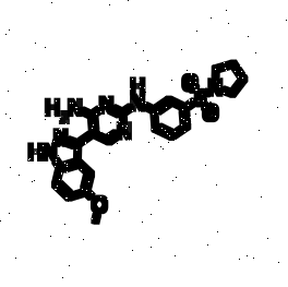 COc1ccc2[nH]nc(-c3cnc(Nc4cccc(S(=O)(=O)N5CCCC5)c4)nc3N)c2c1